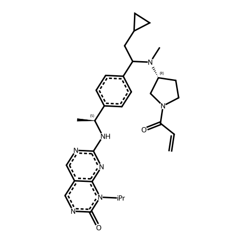 C=CC(=O)N1CC[C@@H](N(C)C(CC2CC2)c2ccc([C@H](C)Nc3ncc4cnc(=O)n(C(C)C)c4n3)cc2)C1